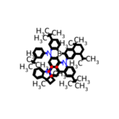 CC(C)C1CCC(C)(C)c2cc3c(cc21)N(c1ccc(C(C)(C)C)cc1-c1ccccc1)c1cc(N2c4ccccc4C4(C)CCC24C)cc2c1B3c1ccc(C(C)(C)C)cc1N2c1cccc(C(C)(C)C)c1